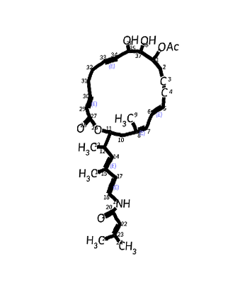 CC(=O)OC1CCC/C=C/C=C(\C)CC(C(C)/C=C(C)/C=C/NC(=O)C=C(C)C)OC(=O)/C=C/CC/C=C/C(O)C1O